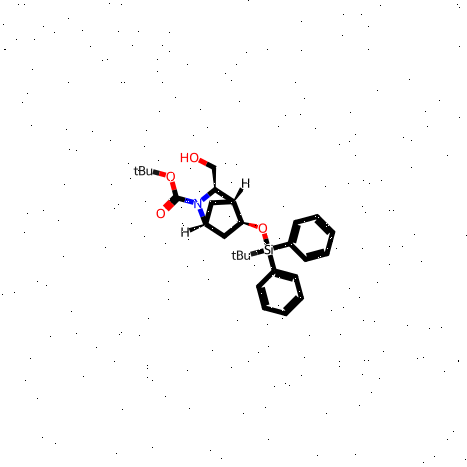 CC(C)(C)OC(=O)N1[C@@H]2C[C@@H]([C@@H](O[Si](c3ccccc3)(c3ccccc3)C(C)(C)C)C2)[C@@H]1CO